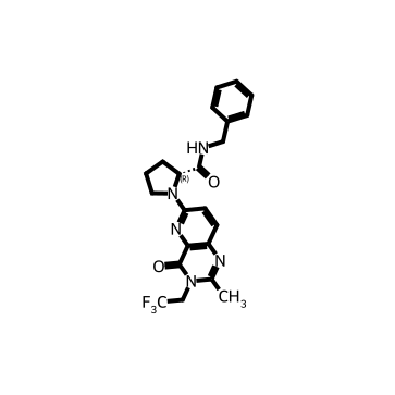 Cc1nc2ccc(N3CCC[C@@H]3C(=O)NCc3ccccc3)nc2c(=O)n1CC(F)(F)F